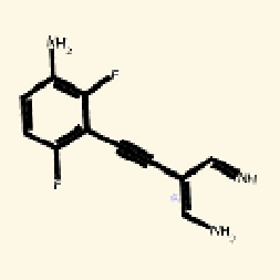 N=C/C(C#Cc1c(F)ccc(N)c1F)=C\N